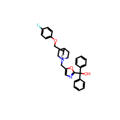 OC(c1ccccc1)(c1ccccc1)c1ncc(C[N+]23CCC(CC2)C(COc2ccc(F)cc2)C3)o1